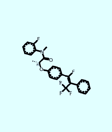 C[C@@H](Oc1ccc(C(F)=C(c2ccccc2)C(F)(F)F)cc1)C(=O)N(C)c1ccccc1F